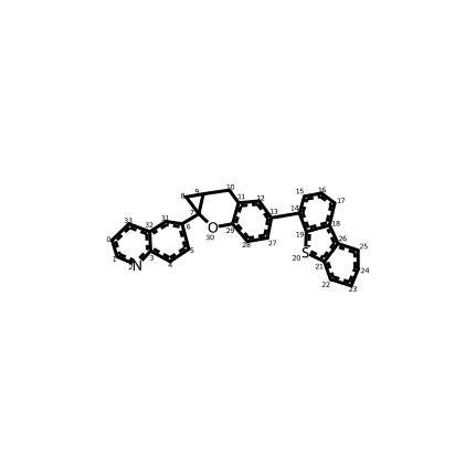 c1cnc2ccc(C34CC3Cc3cc(-c5cccc6c5sc5ccccc56)ccc3O4)cc2c1